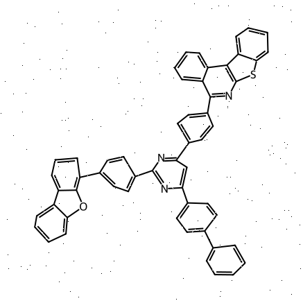 c1ccc(-c2ccc(-c3cc(-c4ccc(-c5nc6sc7ccccc7c6c6ccccc56)cc4)nc(-c4ccc(-c5cccc6c5oc5ccccc56)cc4)n3)cc2)cc1